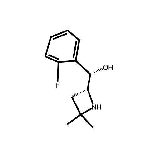 CC1(C)C[C@H]([C@@H](O)c2ccccc2F)N1